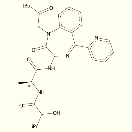 CC(C)C(O)C(=O)N[C@@H](C)C(=O)NC1N=C(c2ccccn2)c2ccccc2N(CC(=O)C(C)(C)C)C1=O